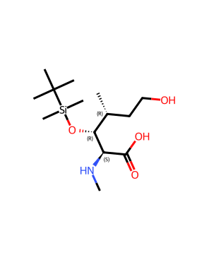 CN[C@H](C(=O)O)[C@H](O[Si](C)(C)C(C)(C)C)[C@H](C)CCO